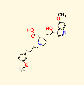 COc1cccc(CCCCN2CC[C@@H](CC[C@@H](O)c3ccnc4ccc(OC)cc34)[C@@H](CC(=O)O)C2)c1